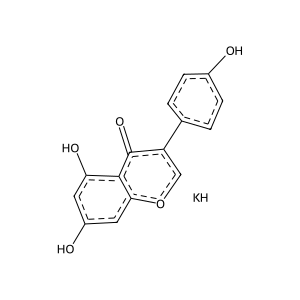 O=c1c(-c2ccc(O)cc2)coc2cc(O)cc(O)c12.[KH]